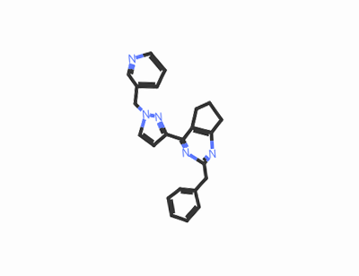 c1ccc(Cc2nc3c(c(-c4ccn(Cc5cccnc5)n4)n2)CCC3)cc1